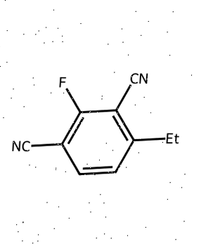 CCc1ccc(C#N)c(F)c1C#N